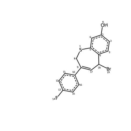 Oc1ccc2c(c1)SCC(c1ccc(F)cc1)=CC2Br